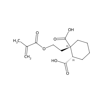 C=C(C)C(=O)OCC[C@@]1(C(=O)O)CCCC[C@@H]1C(=O)O